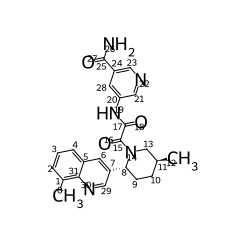 Cc1cccc2cc([C@H]3CC[C@H](C)CN3C(=O)C(=O)Nc3cncc(C(N)=O)c3)cnc12